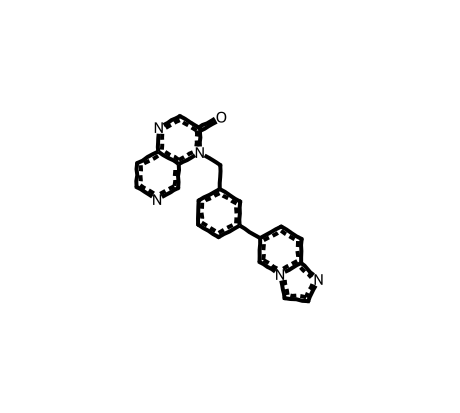 O=c1cnc2ccncc2n1Cc1cccc(-c2ccc3nccn3c2)c1